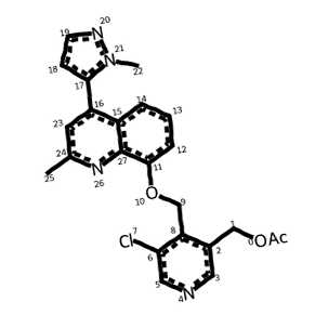 CC(=O)OCc1cncc(Cl)c1COc1cccc2c(-c3ccnn3C)cc(C)nc12